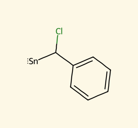 Cl[CH]([Sn])c1ccccc1